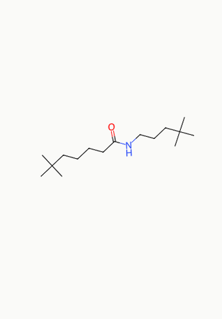 CC(C)(C)CCCCC(=O)NCCCC(C)(C)C